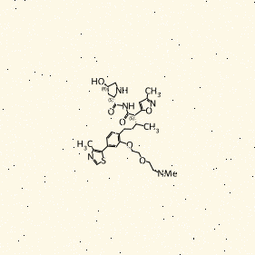 CNCCOCCOc1cc(-c2scnc2C)ccc1CCC(C)[C@H](C(=O)NC(=O)[C@@H]1C[C@@H](O)CN1)c1cc(C)no1